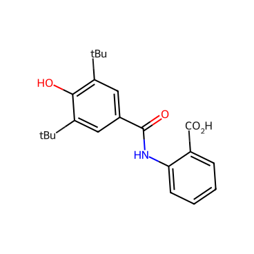 CC(C)(C)c1cc(C(=O)Nc2ccccc2C(=O)O)cc(C(C)(C)C)c1O